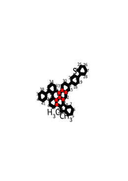 CC1(C)c2ccccc2-c2cc(N(c3ccc(-c4ccc5c(c4)sc4ccccc45)cc3)c3cccc(-c4ccccc4)c3-c3ccccc3-c3ccccc3)ccc21